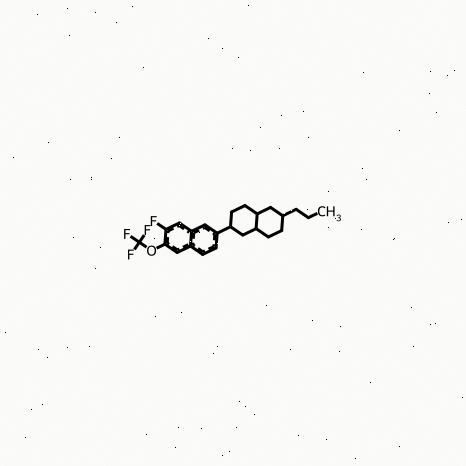 CCCC1CCC2CC(c3ccc4cc(OC(F)(F)F)c(F)cc4c3)CCC2C1